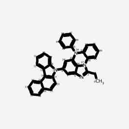 CCc1nc2cc(-n3c4ccccc4c4c5ccccc5ccc43)cc3c2n1-c1ccccc1N3c1ccccc1